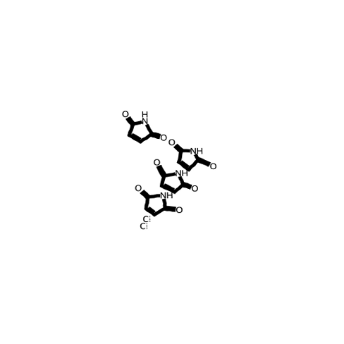 O=C1C=CC(=O)N1.O=C1C=CC(=O)N1.O=C1C=CC(=O)N1.O=C1C=CC(=O)N1.[C].[C]